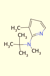 Cc1cccnc1N(C)C(C)(C)C